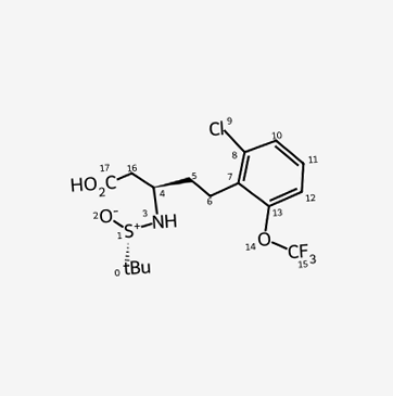 CC(C)(C)[S@+]([O-])N[C@H](CCc1c(Cl)cccc1OC(F)(F)F)CC(=O)O